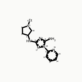 CCN1CCC(Nc2nc(N)n(-c3ccccn3)n2)C1